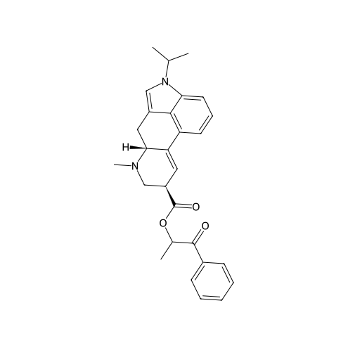 CC(OC(=O)[C@@H]1C=C2c3cccc4c3c(cn4C(C)C)C[C@H]2N(C)C1)C(=O)c1ccccc1